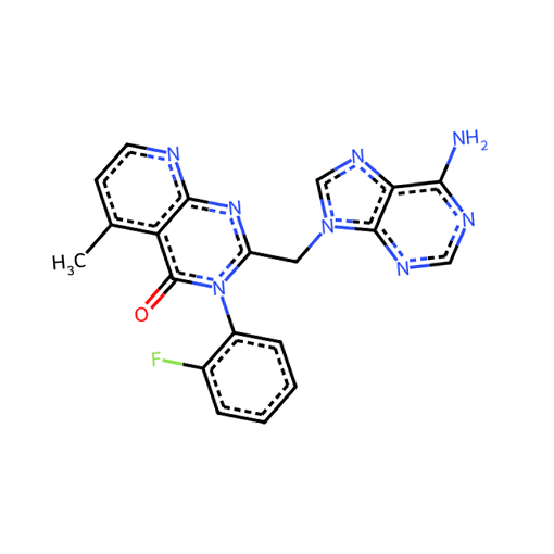 Cc1ccnc2nc(Cn3cnc4c(N)ncnc43)n(-c3ccccc3F)c(=O)c12